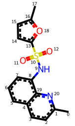 Cc1ccc2cccc(NS(=O)(=O)c3ccc(C)o3)c2n1